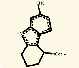 CCCCCCCCC1CCCc2[nH]c3cc(C=O)ccc3c21